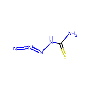 [N-]=[N+]=NNC(N)=S